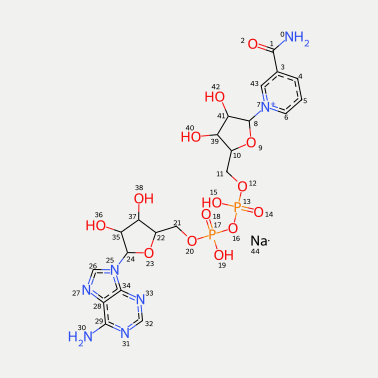 NC(=O)c1ccc[n+](C2OC(COP(=O)(O)OP(=O)(O)OCC3OC(n4cnc5c(N)ncnc54)C(O)C3O)C(O)C2O)c1.[Na]